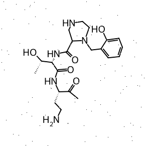 CC(=O)[C@H](CCN)NC(=O)[C@@H](NC(=O)C1CNCCN1Cc1ccccc1O)[C@H](C)O